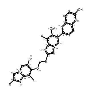 COc1c(-c2ncc3nc(O)ccc3n2)cn2cc(CCOc3c(Br)cn4cc(C)nc4c3C)nc2c1C